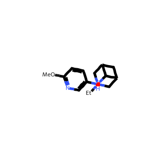 CCN1CC2CC(C1)C2Nc1ccc(OC)nc1